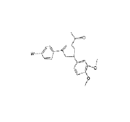 C=C(CC(CCC(C)=O)c1ccc(OC)c(OC)c1)c1ccc(Br)cc1